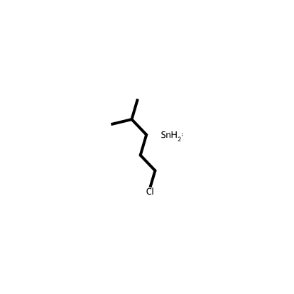 CC(C)CCCCl.[SnH2]